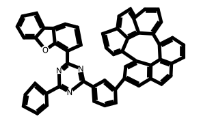 c1ccc(-c2nc(-c3cccc(-c4cc5ccc6cccc7c8cccc9ccc%10cccc(c(c4)c5c67)c%10c98)c3)nc(-c3cccc4c3oc3ccccc34)n2)cc1